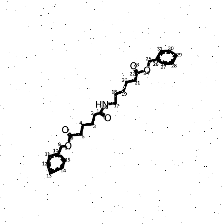 O=C(CCCCC(=O)OCc1ccccc1)NCCCCCC(=O)OCc1ccccc1